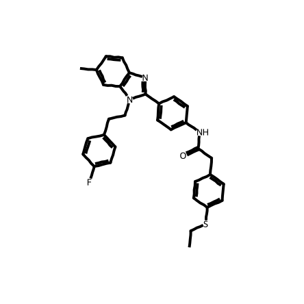 CCSc1ccc(CC(=O)Nc2ccc(-c3nc4ccc(C)cc4n3CCc3ccc(F)cc3)cc2)cc1